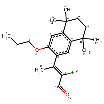 CCCOc1cc2c(cc1C(C)=C(F)C=O)C(C)(C)CCC2(C)C